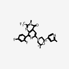 Cc1cc([C@@H]2CN(c3cc4c(=O)n(C)c(C(F)(F)F)nc4c(-c4ccc(F)cc4F)n3)C[C@H](C)O2)ccn1